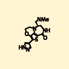 CNC[C@H]1CNC(=O)c2sc(-c3cn[nH]c3)c3c2N1CCO3